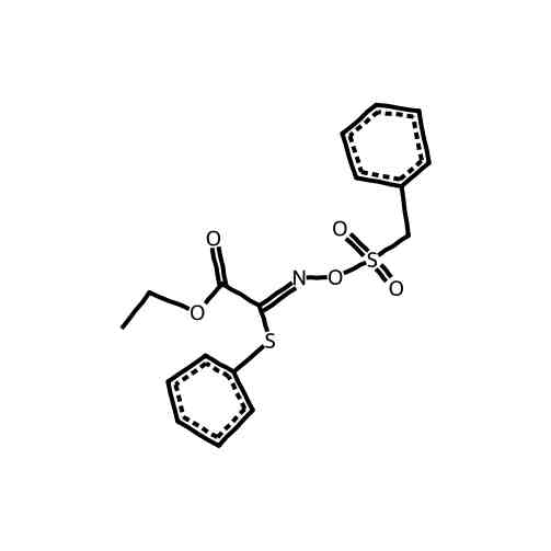 CCOC(=O)/C(=N/OS(=O)(=O)Cc1ccccc1)Sc1ccccc1